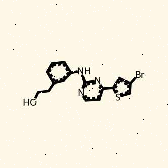 OCCc1cccc(Nc2nccc(-c3cc(Br)cs3)n2)c1